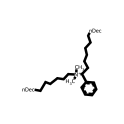 CCCCCCCCCCCCCCCCC(c1ccccc1)[N+](C)(C)CCCCCCCCCCCCCCCC